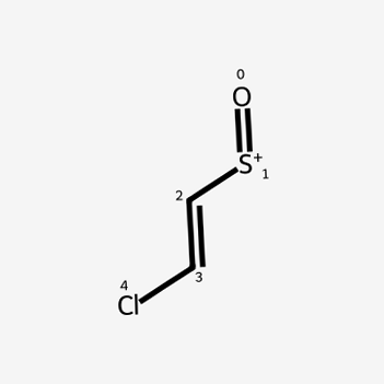 O=[S+]C=CCl